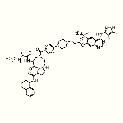 Cc1[nH]nc(Nc2ncnc3cc(OCCCN4CCN(c5cnc(C(=O)N6CC[C@H]7CC[C@@H](C(=O)N[C@@H]8CCCc9ccccc98)N7C(=O)[C@@H](NC(=O)C(C)N(C)C(=O)O)C6)cn5)CC4)c(S(=O)(=O)C(C)(C)C)cc23)c1C